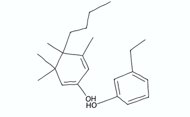 CCCCC1(C)C(C)=CC(O)=CC1(C)C.CCc1cccc(O)c1